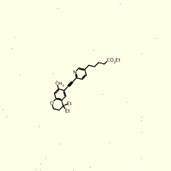 CCOC(=O)CCCCc1ccc(C#Cc2cc3c(cc2C)OCCC3(CC)CC)nc1